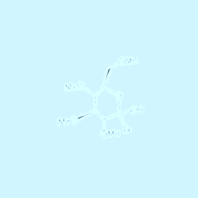 COC[C@H]1O[C@@](O)(Br)[C@H](OC)[C@@H](OC)[C@@H]1OC